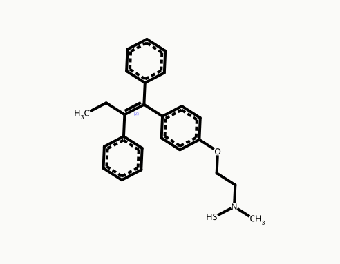 CC/C(=C(\c1ccccc1)c1ccc(OCCN(C)S)cc1)c1ccccc1